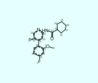 COc1cc(F)ccc1-c1cc(NC(=O)C2CCCCC2)ncc1F